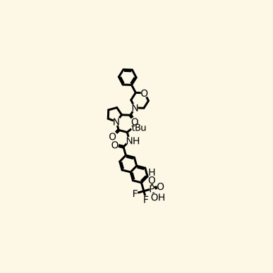 CC(C)(C)C(NC(=O)c1ccc2cc(C(F)(F)P(=O)(O)O)ccc2c1)C(=O)N1CCCC1C(=O)N1CCOC(c2ccccc2)C1